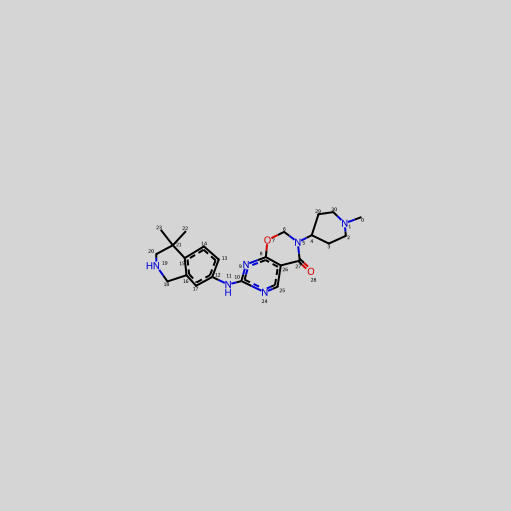 CN1CCC(N2COc3nc(Nc4ccc5c(c4)CNCC5(C)C)ncc3C2=O)CC1